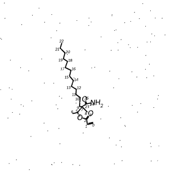 C=CC(=O)OC(C)C(C)(CCCCCCCCCCCCCC)C(N)=O